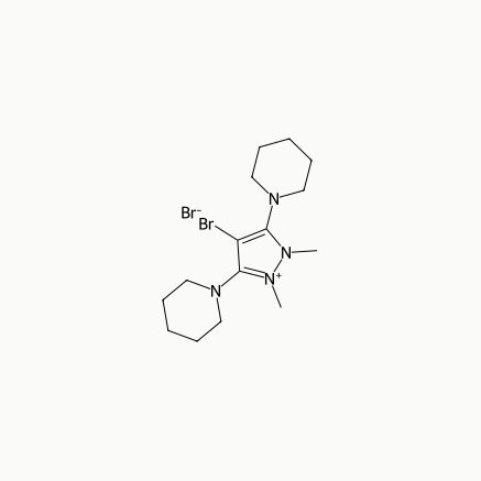 Cn1c(N2CCCCC2)c(Br)c(N2CCCCC2)[n+]1C.[Br-]